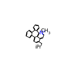 CC(C)Cc1ccc2c3c([n+](C)ccc13)-c1ccccc1-c1ccccc1-2